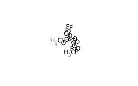 CCC(=O)OCC1(COC(=O)CC(F)(F)F)COC2(CCCC2OC(=O)C(C)(F)F)OC1